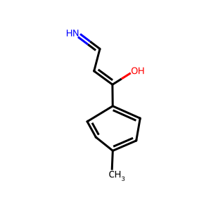 Cc1ccc(/C(O)=C/C=N)cc1